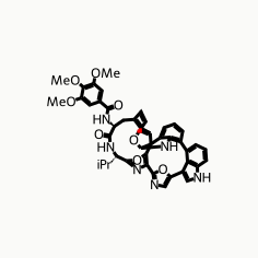 COc1cc(C(=O)N[C@H]2Cc3ccc4c(c3)C35c6cccc(c6NC3O4)-c3cccc4[nH]cc(c34)-c3cnc(o3)-c3nc(oc35)[C@H](C(C)C)NC2=O)cc(OC)c1OC